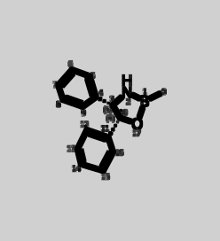 CB1N[C@@H](c2ccccc2)[C@@H](c2ccccc2)O1